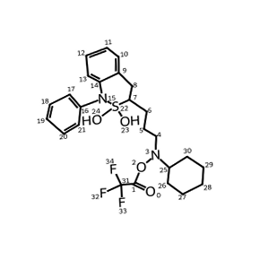 O=C(ON(CCCC1Cc2ccccc2N(c2ccccc2)S1(O)O)C1CCCCC1)C(F)(F)F